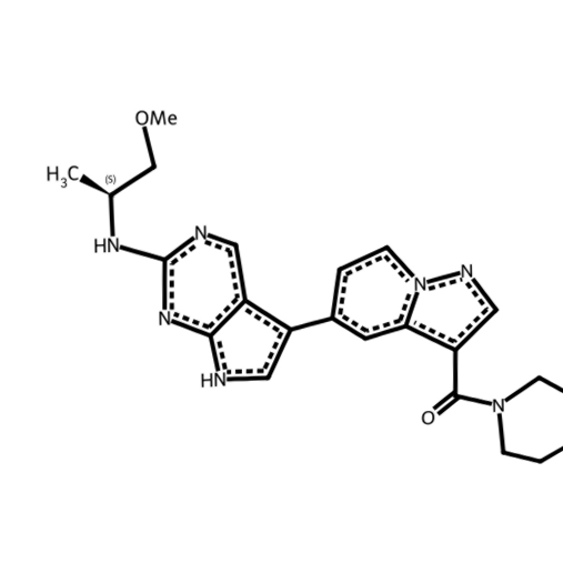 COC[C@H](C)Nc1ncc2c(-c3ccn4ncc(C(=O)N5CCCCC5)c4c3)c[nH]c2n1